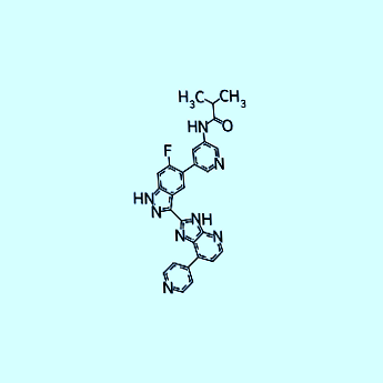 CC(C)C(=O)Nc1cncc(-c2cc3c(-c4nc5c(-c6ccncc6)ccnc5[nH]4)n[nH]c3cc2F)c1